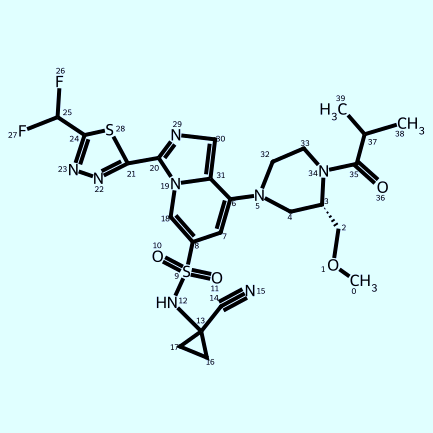 COC[C@@H]1CN(c2cc(S(=O)(=O)NC3(C#N)CC3)cn3c(-c4nnc(C(F)F)s4)ncc23)CCN1C(=O)C(C)C